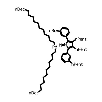 CCCCCC1=C(c2cccc(CCCC)c2)[N+](=[N-])C(c2cccc(CCCCC)c2)=C1CCCCC.CCCCCCCCCCCCCCCCCCCC[CH2][Pd][CH2]CCCCCCCCCCCCCCCCCCCC